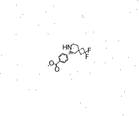 COC(=O)c1ccc([C@H]2CC3(CCN2)CC(F)(F)C3)cc1